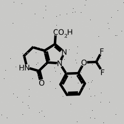 O=C(O)c1nn(-c2ccccc2OC(F)F)c2c1CCNC2=O